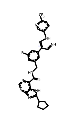 N=C/C(=C\Nc1ccc(C(F)(F)F)nc1)c1cc(F)cc(CNC(=O)c2ncnc3nc(C4CCCC4)[nH]c23)c1